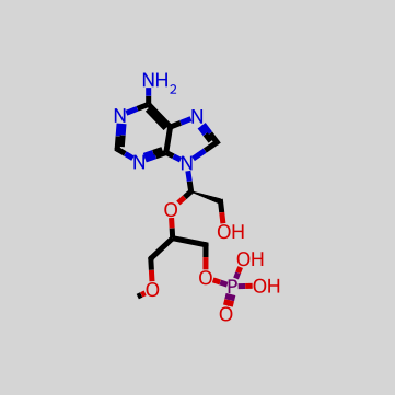 COCC(COP(=O)(O)O)O[C@H](CO)n1cnc2c(N)ncnc21